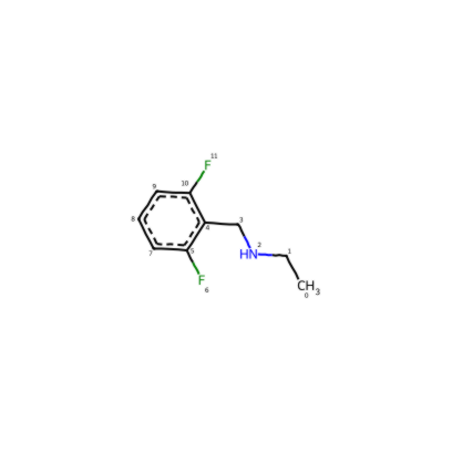 CCNCc1c(F)cccc1F